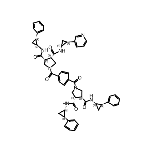 O=C(N[C@H]1C[C@@H]1c1ccccc1)[C@@H]1CN(C(=O)c2ccc(C(=O)N3C[C@@H](C(=O)N[C@H]4C[C@@H]4c4ccccc4)[C@H](C(=O)N[C@@H]4C[C@H]4c4cccnc4)C3)cc2)C[C@H]1C(=O)N[C@H]1C[C@@H]1c1ccccc1